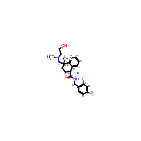 CN(CCO)C[C@@]1(C)CC[C@](F)(C(=O)NCc2ccc(Cl)cc2Cl)c2cccnc21